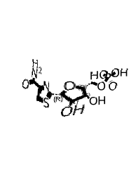 NC(=O)c1csc([C@@H]2O[C@H](COP(=O)(O)O)[C@@H](O)[C@H]2O)n1